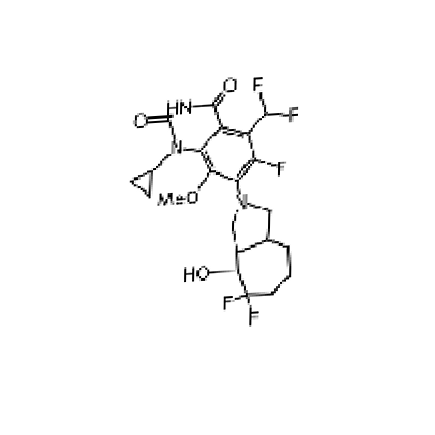 COc1c(N2CC3CCCC(F)(F)C(O)C3C2)c(F)c(C(F)F)c2c(=O)[nH]c(=O)n(C3CC3)c12